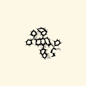 C=C(/C=C\C=C/C)N(c1ccccc1)c1ccc2c(-c3ccc4ccccc4c3)c3cc(N(c4ccccc4)c4ccccc4)ccc3c(-c3ccc4ccccc4c3)c2c1